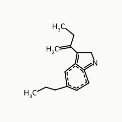 C=C(CC)C1=c2cc(CCC)ccc2=NC1